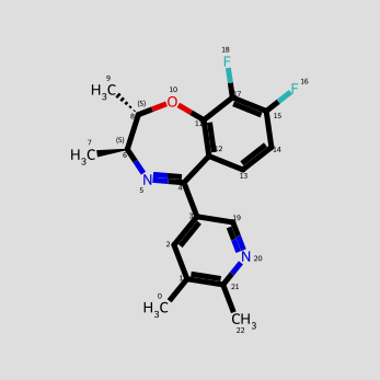 Cc1cc(C2=N[C@@H](C)[C@H](C)Oc3c2ccc(F)c3F)cnc1C